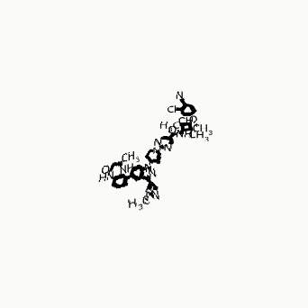 C[C@@H]1CC(=O)Nc2cccc(-c3ccc4c(c3)c(-c3cnn(C)c3)nn4C3CCN(c4ncc(C(=O)NC5C(C)(C)C(Oc6ccc(C#N)c(Cl)c6)C5(C)C)cn4)CC3)c2N1